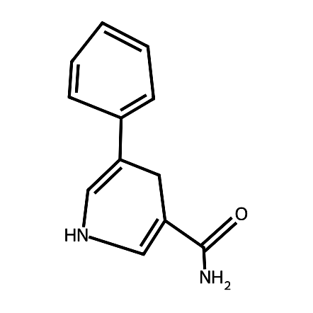 NC(=O)C1=CNC=C(c2ccccc2)C1